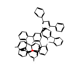 FC(F)(F)c1ccc2c(c1)c1cc(C(F)(F)F)ccc1n2-c1c(-c2ccccc2-n2c3ccccc3c3ccccc32)cc(-c2nc(-c3ccccc3)cc(-c3ccccc3)n2)cc1-c1ccccc1-n1c2ccccc2c2ccccc21